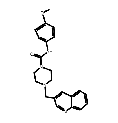 COc1ccc(NC(=O)N2CCN(Cc3cnc4ccccc4c3)CC2)cc1